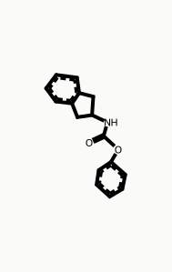 O=C(NC1Cc2ccccc2C1)Oc1ccccc1